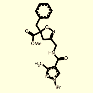 COC(=O)C1(Cc2ccccc2)CC(CNC(=O)c2cn(C(C)C)nc2C)=NO1